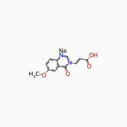 COc1ccc2ncn(C=CC(=O)O)c(=O)c2c1.[Na]